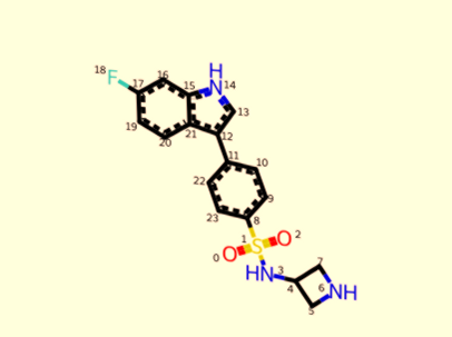 O=S(=O)(NC1CNC1)c1ccc(-c2c[nH]c3cc(F)ccc23)cc1